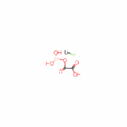 O=C(O)C(=O)OB(O)O.[Li][F]